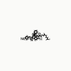 CC(C)=CCC/C(C)=C/CNC(=O)c1cc2c(N(Cc3cncn3Cc3ccc(C#N)cc3)S(=O)(=O)c3ccccc3)cccc2s1